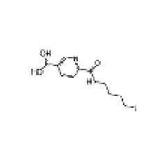 O=C(NCCCCI)c1ccc(B(O)O)cn1